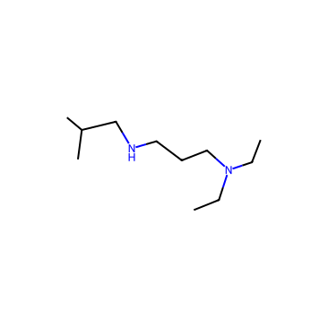 CCN(CC)CCCNCC(C)C